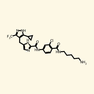 NCCCCCNC(=O)c1ccc(NC(=O)c2ncc(Cc3c(C(F)(F)F)n[nH]c3C3CC3)[nH]2)cc1Cl